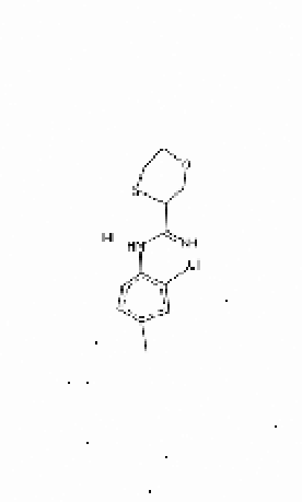 Cc1ccc(NC(=N)C2COCCS2)c(Cl)c1.I